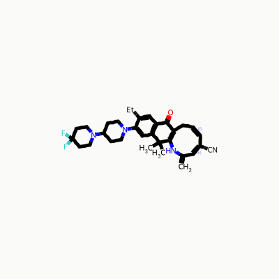 C=C1/C=C(C#N)\C=C/CC2=C(N1)C(C)(C)c1cc(N3CCC(N4CCC(F)(F)CC4)CC3)c(CC)cc1C2=O